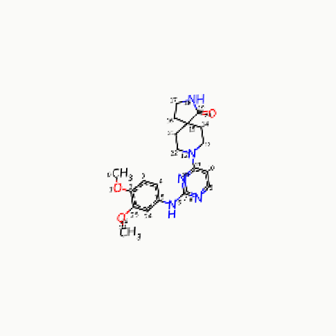 COc1ccc(Nc2nccc(N3CCC4(CCNC4=O)CC3)n2)cc1OC